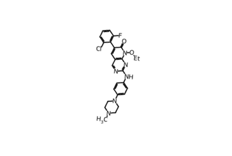 CCOn1c(=O)c(-c2c(F)cccc2Cl)cc2cnc(Nc3ccc(N4CCN(C)CC4)cc3)nc21